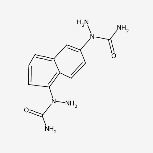 NC(=O)N(N)c1ccc2c(N(N)C(N)=O)cccc2c1